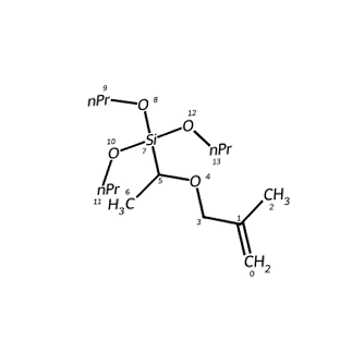 C=C(C)COC(C)[Si](OCCC)(OCCC)OCCC